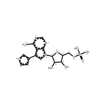 Nc1ncnc2c1c(-c1ccoc1)cn2C1OC(COP(=O)(O)O)C(O)C1O